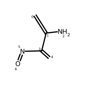 C=C(N)C(=C)N=O